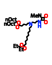 CCCCCCCCC(CCCCCCCC)OC(=O)CCCCN(CCCCCCCCCC(=O)OC(CC)CC)CCCNc1c(NC)c(=O)c1=O